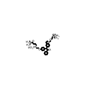 CC/C(=C(/c1ccc(OCCN(C/C=C/C(=O)N(C)C)C(=O)O)cc1)c1ccc2c(ccn2COCC[Si](C)(C)C)c1)c1ccccc1